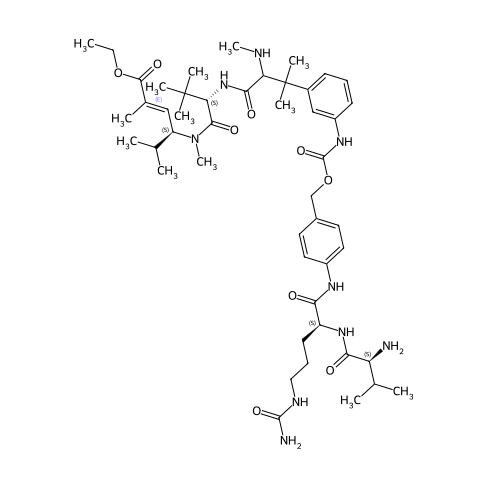 CCOC(=O)/C(C)=C/[C@H](C(C)C)N(C)C(=O)[C@@H](NC(=O)C(NC)C(C)(C)c1cccc(NC(=O)OCc2ccc(NC(=O)[C@H](CCCNC(N)=O)NC(=O)[C@@H](N)C(C)C)cc2)c1)C(C)(C)C